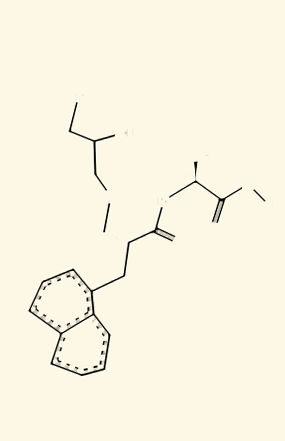 CCCC[C@H](NC(=O)[C@@H](CSCC(O)CO)Cc1cccc2ccccc12)C(=O)OC(C)(C)C